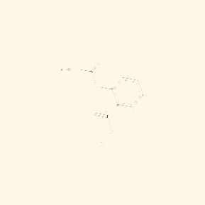 CCCCCCCC(=O)Oc1ccccc1C(=O)CN